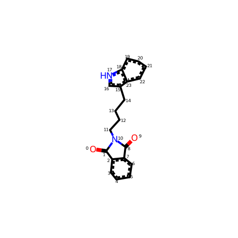 O=C1c2ccccc2C(=O)N1CCCCc1c[nH]c2cc[c]cc12